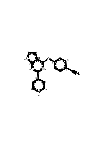 N#Cc1ccc(Oc2nc(-c3ccncc3)nc3sccc23)cc1